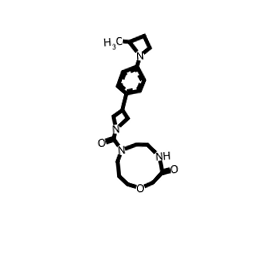 CC1CCN1c1ccc(C2CN(C(=O)N3CCCOCC(=O)NCC3)C2)cc1